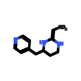 O=[N+]([O-])C=C1NCCC(Cc2ccncc2)N1